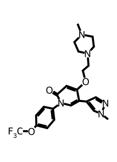 CN1CCN(CCOc2cc(=O)n(-c3ccc(OC(F)(F)F)cc3)cc2-c2cnn(C)c2)CC1